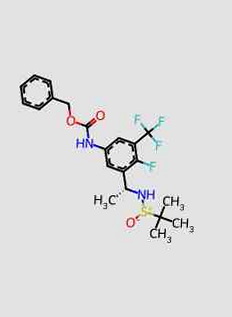 C[C@@H](N[S+]([O-])C(C)(C)C)c1cc(NC(=O)OCc2ccccc2)cc(C(F)(F)F)c1F